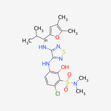 Cc1cc([C@H](Nc2nsnc2Nc2ccc(Cl)c(S(=O)(=O)N(C)C)c2O)C(C)C)oc1C